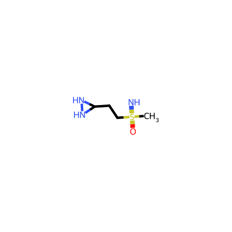 CS(=N)(=O)CCC1NN1